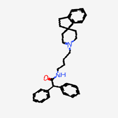 O=C(NCCCCN1CCC2(CCc3ccccc32)CC1)C(c1ccccc1)c1ccccc1